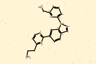 NCCc1ccnc(-c2ccc3cnn(-c4cccc(CO)n4)c3c2)n1